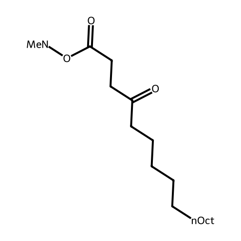 CCCCCCCCCCCCCC(=O)CCC(=O)ONC